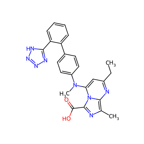 CCc1cc(N(C)c2ccc(-c3ccccc3-c3nnn[nH]3)cc2)n2c(C(=O)O)nc(C)c2n1